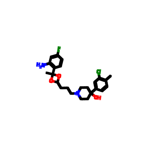 Cc1ccc(C2(O)CCN(CCCC3OC(C)(c4ccc(F)cc4N)O3)CC2)cc1Cl